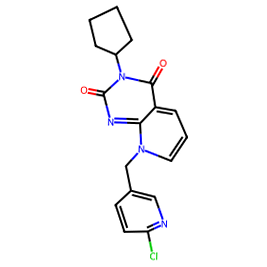 O=c1nc2n(Cc3ccc(Cl)nc3)cccc-2c(=O)n1C1CCCC1